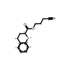 N#CCCCOC(=O)C1CCc2ccccc2S1